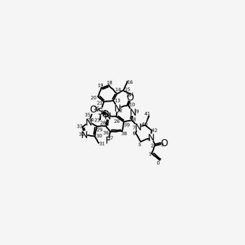 C=CC(=O)N1CCN(c2nc(=O)n(-c3c(C(C)C)cccc3S(C)(=O)=O)c3nc(-c4c(C)ncn4C)c(F)cc23)[C@@H](C)C1